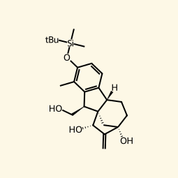 C=C1[C@H](O)[C@]23C[C@@]1(O)CC[C@H]2c1ccc(O[Si](C)(C)C(C)(C)C)c(C)c1[C@@H]3CO